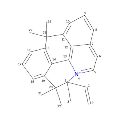 C=CC1(C)[n+]2ccc3cccc4c3c2-c2c(cccc2C1(C)C)C4(C)C